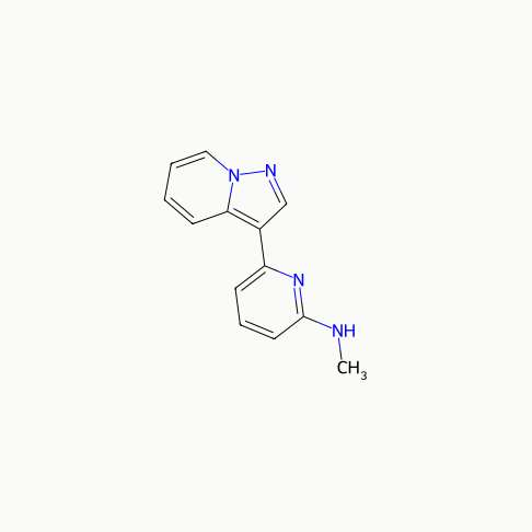 CNc1cccc(-c2cnn3ccccc23)n1